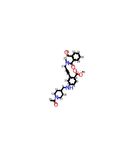 COC(=O)c1ccc(NCC2CCN(C(C)=O)CC2)cc1C#CCN(C)C(=O)c1ccccc1C=O